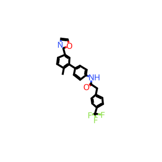 Cc1ccc(-c2ncco2)cc1-c1ccc(NC(=O)Cc2ccc(C(F)(F)F)cc2)cc1